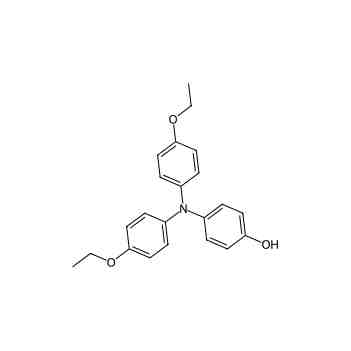 CCOc1ccc(N(c2ccc(O)cc2)c2ccc(OCC)cc2)cc1